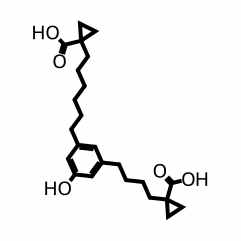 O=C(O)C1(CCCCCCc2cc(O)cc(CCCCC3(C(=O)O)CC3)c2)CC1